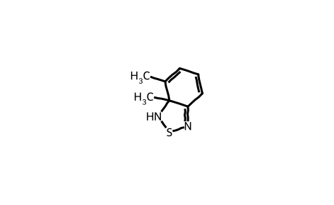 CC1=CC=CC2=NSNC12C